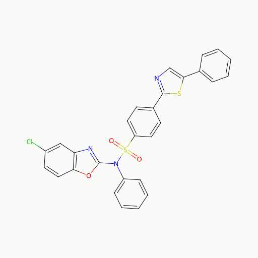 O=S(=O)(c1ccc(-c2ncc(-c3ccccc3)s2)cc1)N(c1ccccc1)c1nc2cc(Cl)ccc2o1